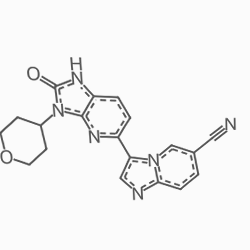 N#Cc1ccc2ncc(-c3ccc4[nH]c(=O)n(C5CCOCC5)c4n3)n2c1